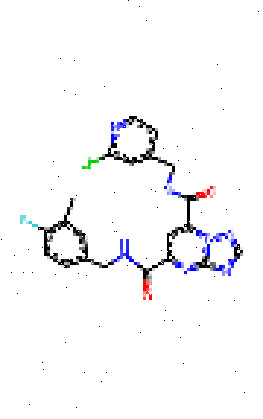 Cc1cc(CNC(=O)c2cc(C(=O)NCc3ccnc(Cl)c3)n3ncnc3n2)ccc1F